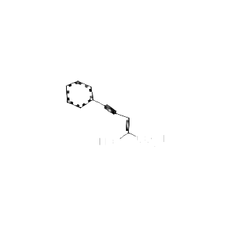 C/C(=C\C#Cc1ccccc1)C(=O)O